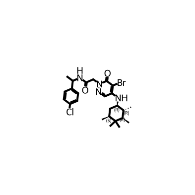 CC(NC(=O)Cn1ncc(N[C@@H]2C[C@H](C)C(C)(C)[C@H](C)[C@H]2C)c(Br)c1=O)c1ccc(Cl)cc1